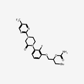 CC(C)(C)CC(COc1cccc(N2CCN(c3ncc(C(F)(F)F)cn3)CC2=O)c1F)OC(N)=O